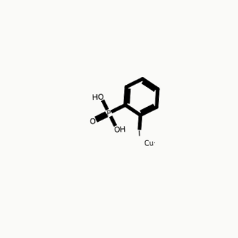 O=P(O)(O)c1ccccc1I.[Cu]